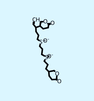 C=CC(CCC[S+]([O-])CCC[S+]([O-])CCCC1CCC(=O)OC1)C1CCC(=O)OC1